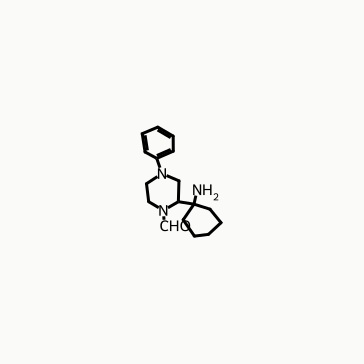 NC1(C2CN(c3ccccc3)CCN2C=O)CCCCC1